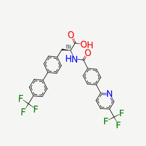 O=C(N[C@@H](Cc1ccc(-c2ccc(C(F)(F)F)cc2)cc1)C(=O)O)c1ccc(-c2ccc(C(F)(F)F)cn2)cc1